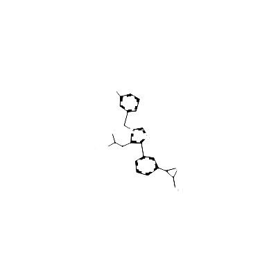 CC(O)Cc1c(-c2cccc(C3OC3O)c2)ncn1Cc1cccc(O)c1